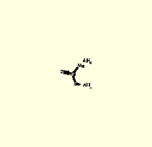 [AlH3].[AlH3].[O]=[Mo]([Mo])[Mo]